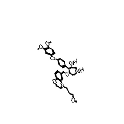 COCCCN1CCOc2ccc(CO[C@H]3CNC[C@@H](O)C3c3ccc(Oc4ccc(OC)c(OC)c4)cc3)cc21